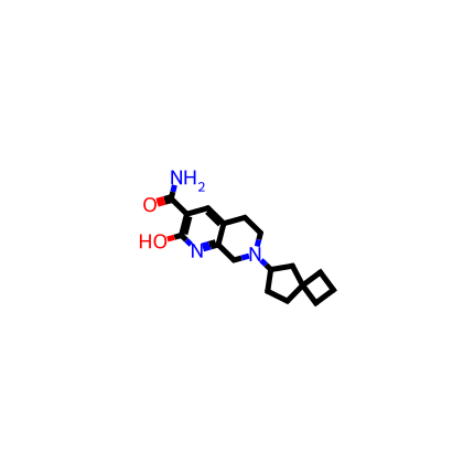 NC(=O)c1cc2c(nc1O)CN(C1CCC3(CCC3)C1)CC2